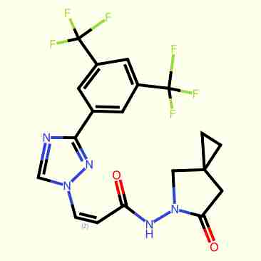 O=C(/C=C\n1cnc(-c2cc(C(F)(F)F)cc(C(F)(F)F)c2)n1)NN1CC2(CC2)CC1=O